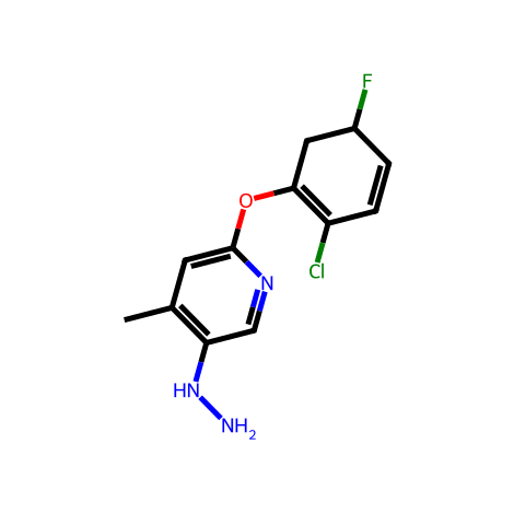 Cc1cc(OC2=C(Cl)C=CC(F)C2)ncc1NN